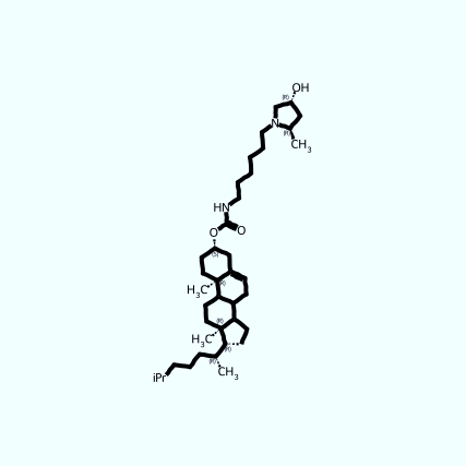 CC(C)CCC[C@@H](C)[C@H]1CCC2C3CC=C4C[C@@H](OC(=O)NCCCCCCN5C[C@H](O)C[C@H]5C)CC[C@]4(C)C3CC[C@@]21C